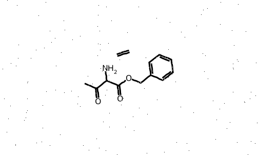 C=C.CC(=O)C(N)C(=O)OCc1ccccc1